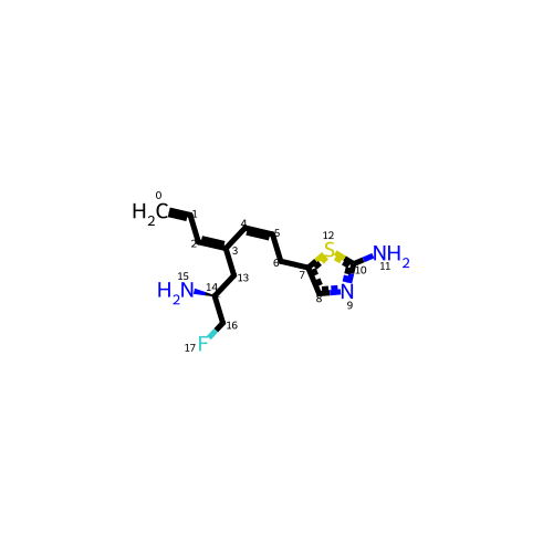 C=C/C=C(\C=C/Cc1cnc(N)s1)C[C@H](N)CF